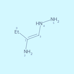 CC/C(N)=C\NN